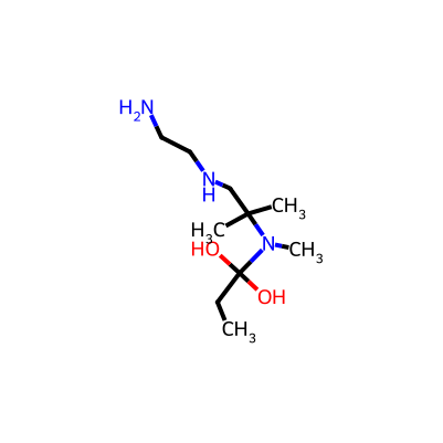 CCC(O)(O)N(C)C(C)(C)CNCCN